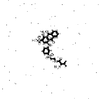 CC(C)C(N)C(=O)NCCS(=O)(=O)c1cccc(Nc2cc(S(=O)(=O)O)c(N)c3c2C(=O)c2ccccc2C3=O)c1